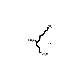 C=CCCCCC(CCCC(=O)O)C(=O)O.[NaH]